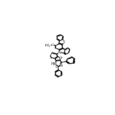 CC1Cc2c(c3ccccc3n2C2=CCCc3c2oc2c3N[C@H](c3ccccc3)N=C2c2ccccc2)-c2sc3ccccc3c21